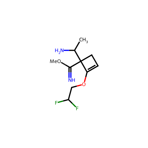 COC(=N)C1(C(C)N)CC=C1OCC(F)F